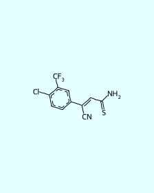 N#CC(=CC(N)=S)c1ccc(Cl)c(C(F)(F)F)c1